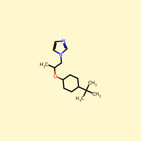 CC(Cn1ccnc1)OC1CCC(C(C)(C)C)CC1